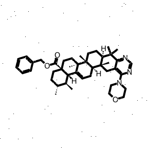 C[C@H]1[C@H](C)CC[C@]2(C(=O)OCc3ccccc3)CC[C@]3(C)C(=CC[C@@H]4[C@@]5(C)Cc6c(N7CCOCC7)ncnc6C(C)(C)[C@@H]5CC[C@]43C)[C@H]12